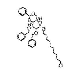 ClCCCCCCCCCCO[C@H]1O[C@@H]2COC(c3ccccc3)O[C@@H]2[C@H](OCc2ccccc2)[C@H]1OCc1ccccc1